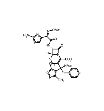 CNC(Sc1ccncc1)(C1=C(C(=O)O)N2C(=O)[C@@H](NC(=O)/C(=N\OC)c3csc(N)n3)[C@H]2SC1)c1c(C)noc1C